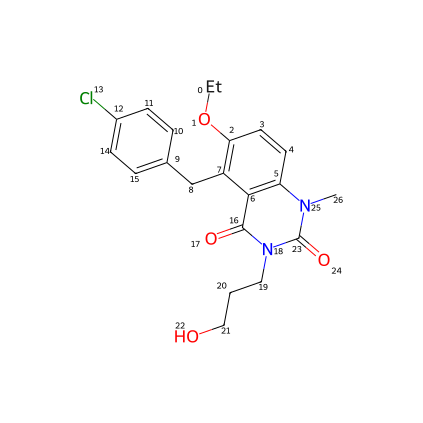 CCOc1ccc2c(c1Cc1ccc(Cl)cc1)c(=O)n(CCCO)c(=O)n2C